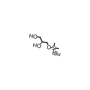 CC(C)(C)[Si](C)(C)OC[C@@H](O)CO